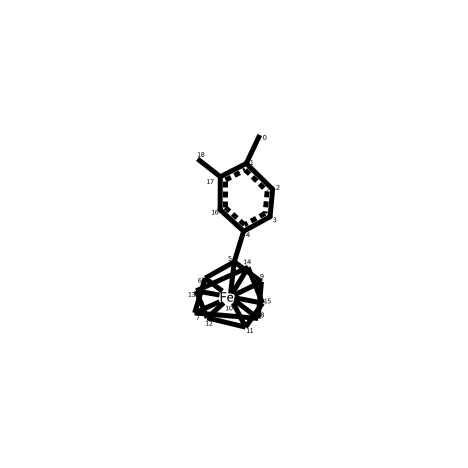 Cc1ccc([C]23[CH]4[CH]5[CH]6[CH]2[Fe]56432789[CH]3[CH]2[CH]7[CH]8[CH]39)cc1C